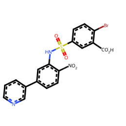 O=C(O)c1cc(S(=O)(=O)Nc2cc(-c3cccnc3)ccc2[N+](=O)[O-])ccc1Br